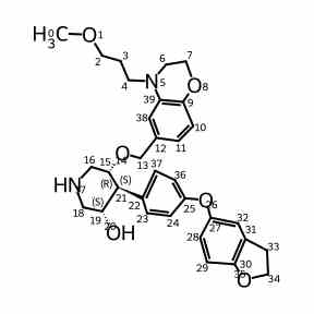 COCCCN1CCOc2ccc(CO[C@H]3CNC[C@@H](O)[C@@H]3c3ccc(Oc4ccc5c(c4)CCO5)cc3)cc21